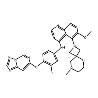 COc1ccc2ncnc(Nc3ccc(Oc4cc5ncnn5cn4)c(C)c3)c2c1N1CC2(CN(C)CCO2)C1